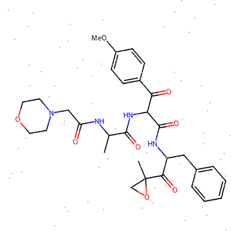 COc1ccc(C(=O)C(NC(=O)C(C)NC(=O)CN2CCOCC2)C(=O)NC(Cc2ccccc2)C(=O)C2(C)CO2)cc1